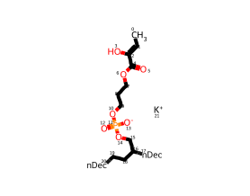 CC=C(O)C(=O)OCCCOP(=O)([O-])OCC(CCCCCCCCCC)CCCCCCCCCCCC.[K+]